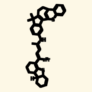 CCC/C(=C\C=C(/C)Nc1ccc2c(c1)C1=C(CCC3C=C1Sc1ccccc13)C2(C)C)C1=C2SC3C=CCC[C@@H]3C2CCC1